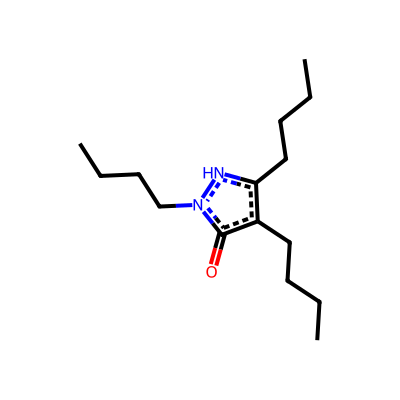 CCCCc1[nH]n(CCCC)c(=O)c1CCCC